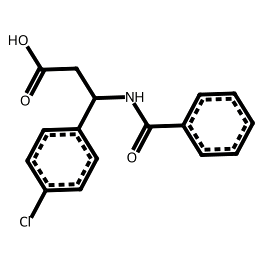 O=C(O)CC(NC(=O)c1ccccc1)c1ccc(Cl)cc1